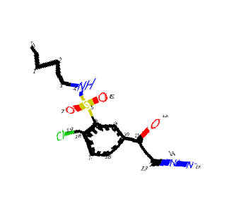 CCCCNS(=O)(=O)c1cc(C(=O)C=[N+]=[N-])ccc1Cl